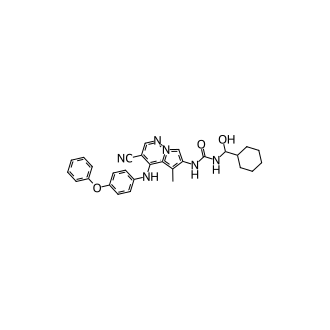 Cc1c(NC(=O)NC(O)C2CCCCC2)cn2ncc(C#N)c(Nc3ccc(Oc4ccccc4)cc3)c12